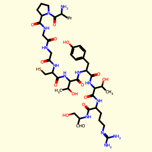 CC(C)C(N)C(=O)N1CCCC1C(=O)NCC(=O)NCC(=O)NC(CS)C(=O)NC(C(=O)NC(Cc1ccc(O)cc1)C(=O)NC(C(=O)NC(CCCN=C(N)N)C(=O)NC(C=O)CO)C(C)O)C(C)O